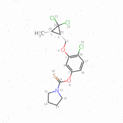 C[C@H]1[C@@H](COc2cc(OC(=S)N3CCCC3)ccc2Cl)C1(Cl)Cl